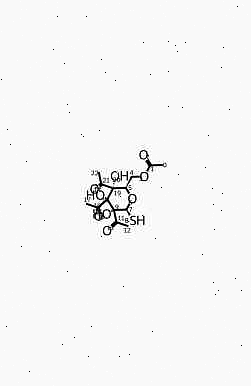 CC(=O)OC[C@H]1O[C@@H](S)[C@@](O)(C(C)=O)[C@](O)(C(C)=O)[C@@]1(O)C(C)=O